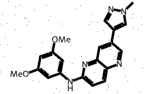 COc1cc(Nc2ccc3ncc(-c4cnn(C)c4)cc3n2)cc(OC)c1